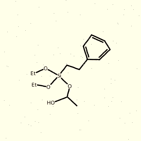 CCO[Si](CCc1ccccc1)(OCC)OC(C)O